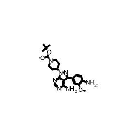 COc1cc(-c2nn(C3CCN(C(=O)OC(C)(C)C)CC3)c3ncnc(N)c23)ccc1N